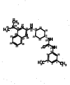 Cc1cc(C)cc(NC(=O)N[C@H]2CC[C@@H](Nc3nc(N(C)C)c4ccccc4n3)CC2)c1